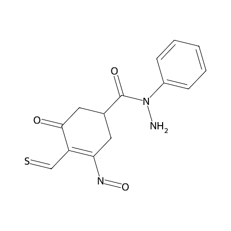 NN(C(=O)C1CC(=O)C(C=S)=C(N=O)C1)c1ccccc1